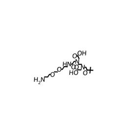 CC(C)(C)C(=O)CN(CCN(CC(=O)O)CC(=O)NCCCOCCOCCCN)CC(=O)O